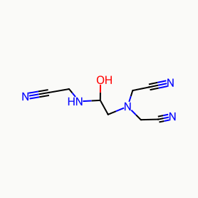 N#CCNC(O)CN(CC#N)CC#N